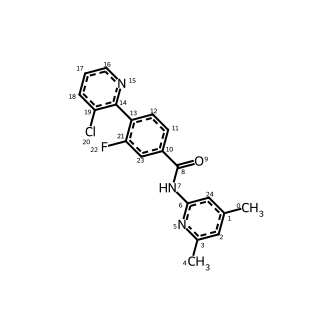 Cc1cc(C)nc(NC(=O)c2ccc(-c3ncccc3Cl)c(F)c2)c1